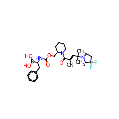 CC(C)(C=C(C#N)C(=O)N1CCCC[C@@H]1COC(=O)NC(Cc1ccccc1)B(O)O)N1CCC(F)(F)C1